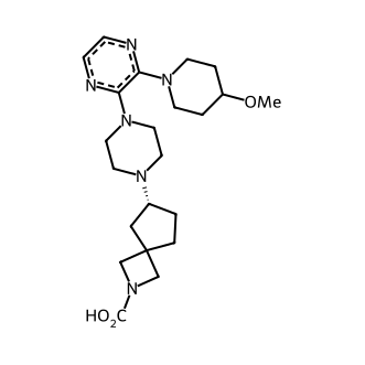 COC1CCN(c2nccnc2N2CCN([C@@H]3CCC4(C3)CN(C(=O)O)C4)CC2)CC1